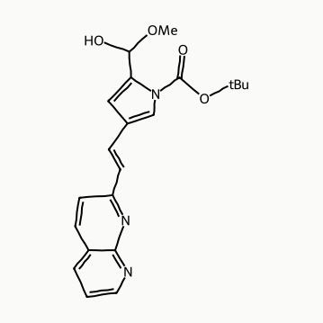 COC(O)c1cc(/C=C/c2ccc3cccnc3n2)cn1C(=O)OC(C)(C)C